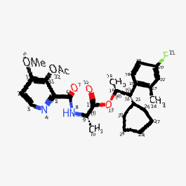 COc1ccnc(C(=O)N[C@@H](C)C(=O)O[C@H](C)[C@H](c2ccc(F)cc2C)C2CCCCC2)c1OC(C)=O